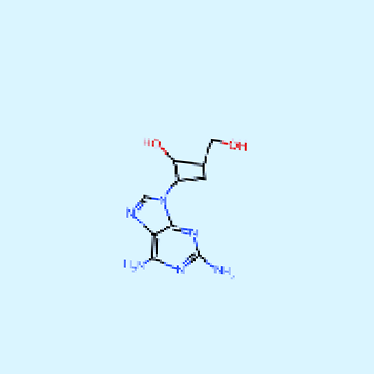 Nc1nc(N)c2ncn(C3CC(CO)C3O)c2n1